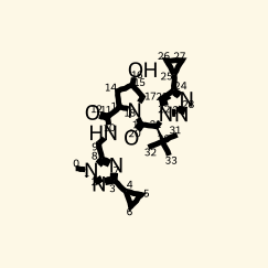 Cn1nc(C2CC2)nc1CNC(=O)C1CC(O)CN1C(=O)[C@@H](n1cc(C2CC2)nn1)C(C)(C)C